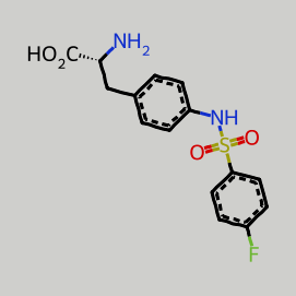 N[C@H](Cc1ccc(NS(=O)(=O)c2ccc(F)cc2)cc1)C(=O)O